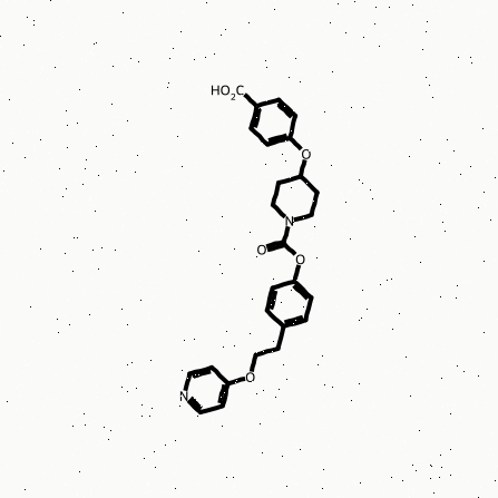 O=C(O)c1ccc(OC2CCN(C(=O)Oc3ccc(CCOc4ccncc4)cc3)CC2)cc1